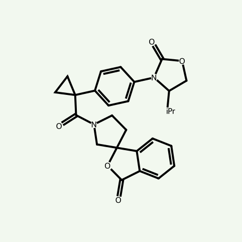 CC(C)C1COC(=O)N1c1ccc(C2(C(=O)N3CCC4(C3)OC(=O)c3ccccc34)CC2)cc1